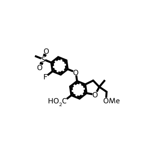 COCC1(C)Cc2c(Oc3ccc(S(C)(=O)=O)c(F)c3)cc(C(=O)O)cc2O1